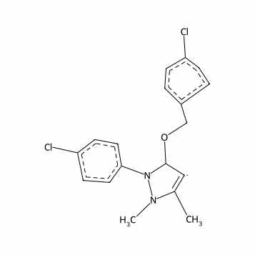 CC1=[C]C(OCc2ccc(Cl)cc2)N(c2ccc(Cl)cc2)N1C